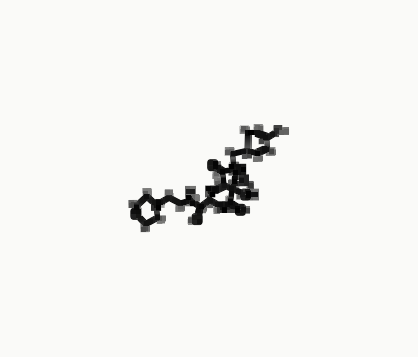 CC1(O)C(=O)NC(C(=O)NCCN2CCOCC2)N=C1C(=O)NCc1ccc(F)cc1